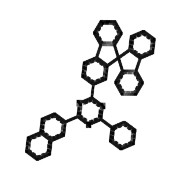 c1ccc(-c2nc(-c3ccc4c(c3)C3(c5ccccc5-c5ccccc53)c3ccccc3-4)nc(-c3ccc4ccccc4c3)n2)cc1